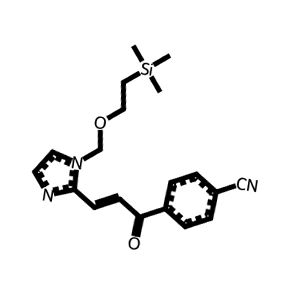 C[Si](C)(C)CCOCn1ccnc1/C=C/C(=O)c1ccc(C#N)cc1